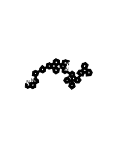 c1ccc(C2(c3ccccc3)c3cc(-c4ccc5cc(-c6cccc7c8ccc(-c9ccc(-c%10cccc(-c%11ccc%12ccc%13cccnc%13c%12n%11)c%10)cc9)cc8c8ccccc8c67)c6cccnc6c5n4)ccc3-c3c(-c4ccc5c6ccccc6c6ccccc6c5c4)cccc32)cc1